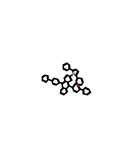 c1ccc(-c2ccc(-c3c4ccccc4c(-c4ccc(-c5ccccc5)cc4)c4cc(-n5c(-c6ccccc6)ccc5-c5ccccc5)ccc34)cc2)cc1